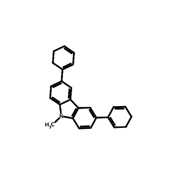 Cn1c2ccc(C3=CCCC=C3)cc2c2cc(C3=CC=CCC3)ccc21